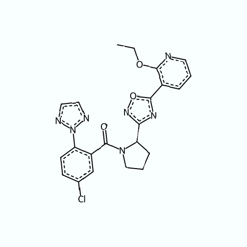 CCOc1ncccc1-c1nc(C2CCCN2C(=O)c2cc(Cl)ccc2-n2nccn2)no1